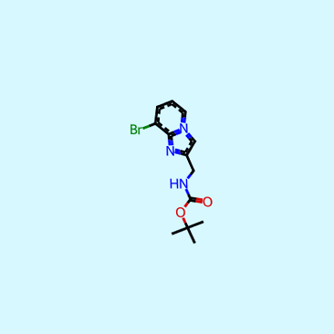 CC(C)(C)OC(=O)NCc1cn2cccc(Br)c2n1